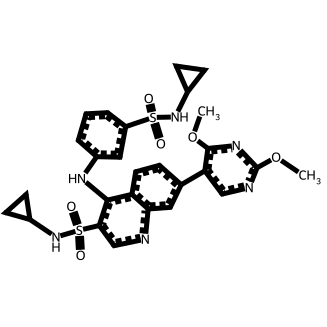 COc1ncc(-c2ccc3c(Nc4cccc(S(=O)(=O)NC5CC5)c4)c(S(=O)(=O)NC4CC4)cnc3c2)c(OC)n1